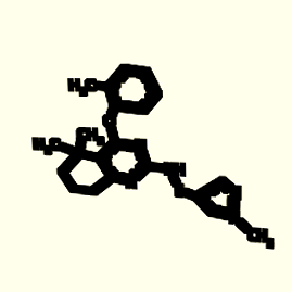 Cc1ccccc1Oc1nc(NSc2cnn(C)c2)nc2c1C(C)(C)CCC2